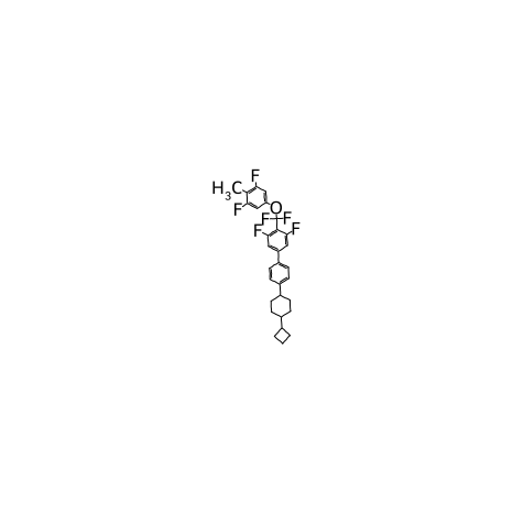 Cc1c(F)cc(OC(F)(F)c2c(F)cc(-c3ccc(C4CCC(C5CCC5)CC4)cc3)cc2F)cc1F